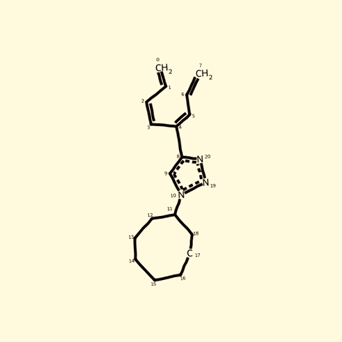 C=C/C=C\C(=C/C=C)c1cn(C2CCCCCCC2)nn1